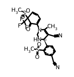 CC1=C(C#N)[C@@H](c2ccc(C#N)cc2S(C)(=O)=O)NCN1C1=CC=CC(C(F)(F)F)(S(C)(=O)=O)C1=O